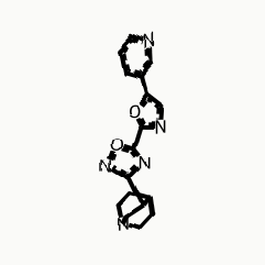 c1cncc(-c2cnc(-c3nc(C4CN5CCC4CC5)no3)o2)c1